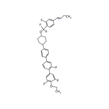 CC/C=C/c1ccc(C(F)(F)OC2CCC(c3ccc(-c4ccc(-c5cc(F)c(OCC)c(F)c5)c(F)c4)cc3)CC2)c(F)c1